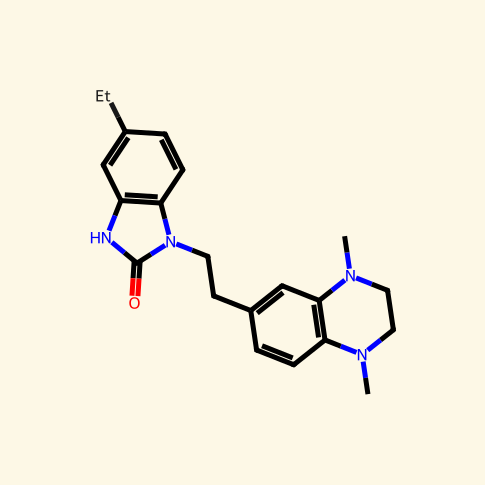 CCc1ccc2c(c1)[nH]c(=O)n2CCc1ccc2c(c1)N(C)CCN2C